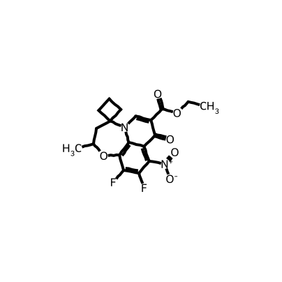 CCOC(=O)c1cn2c3c(c(F)c(F)c([N+](=O)[O-])c3c1=O)OC(C)CC21CCC1